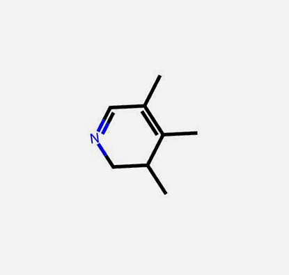 CC1=C(C)C(C)CN=C1